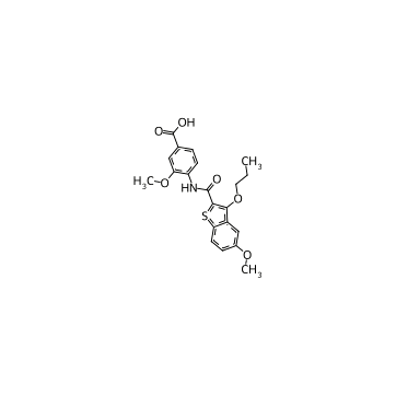 CCCOc1c(C(=O)Nc2ccc(C(=O)O)cc2OC)sc2ccc(OC)cc12